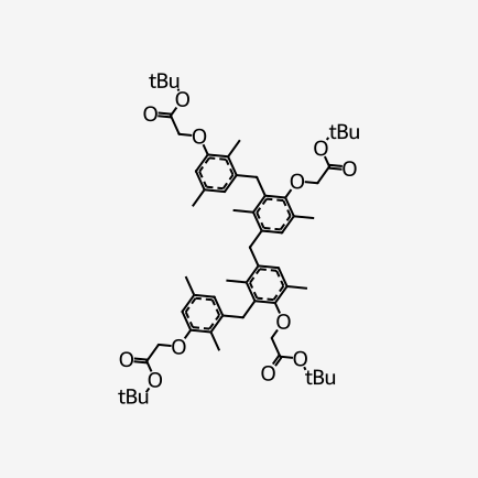 Cc1cc(Cc2c(C)c(Cc3cc(C)c(OCC(=O)OC(C)(C)C)c(Cc4cc(C)cc(OCC(=O)OC(C)(C)C)c4C)c3C)cc(C)c2OCC(=O)OC(C)(C)C)c(C)c(OCC(=O)OC(C)(C)C)c1